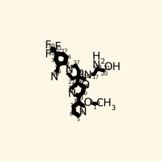 CCOc1ncccc1-c1ccc(C2(C(=O)NC[C@H](N)CO)CCN(c3ccc(C(F)(F)F)cc3C#N)CC2)cn1